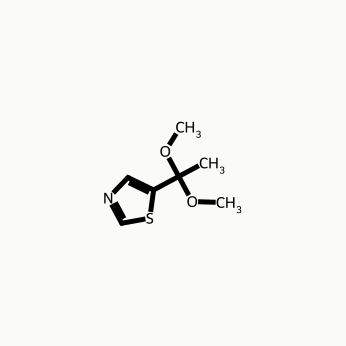 COC(C)(OC)c1cncs1